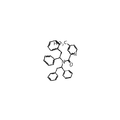 O=C(O)c1ccnc(C(=O)N(C(Cc2ccccc2)c2ccccc2)C(Cc2ccccc2)c2ccccc2)c1